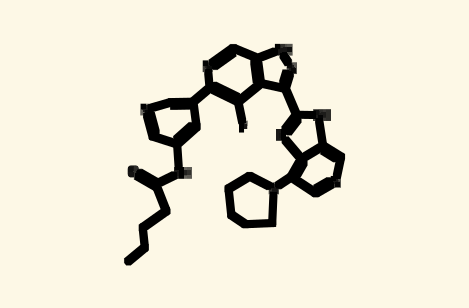 CCCCC(=O)Nc1cncc(-c2ncc3[nH]nc(-c4nc5c(N6CCCCC6)cncc5[nH]4)c3c2F)c1